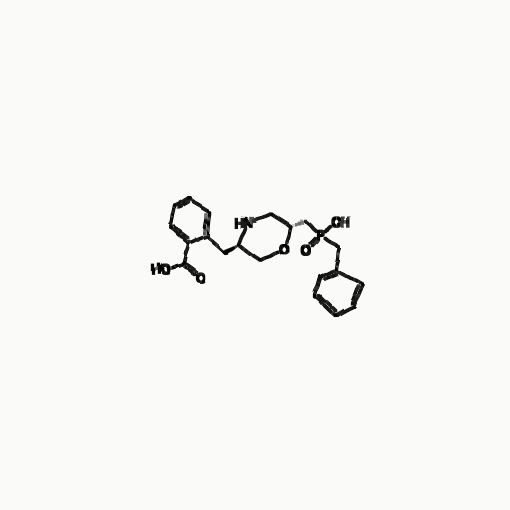 O=C(O)c1ccccc1C[C@@H]1CO[C@@H](CP(=O)(O)Cc2ccccc2)CN1